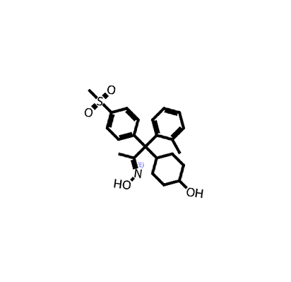 C/C(=N\O)C(c1ccc(S(C)(=O)=O)cc1)(c1ccccc1C)C1CCC(O)CC1